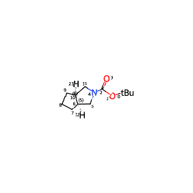 CC(C)(C)OC(=O)N1C[C@H]2CCC[C@H]2C1